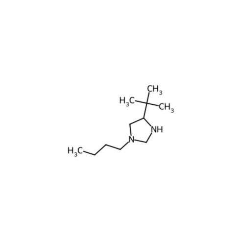 CCCCN1CNC(C(C)(C)C)C1